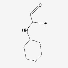 O=CC(F)NC1CCCCC1